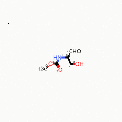 CC(C)(C)OC(=O)NC(C=O)CO